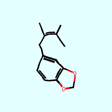 CC(C)=C(C)Cc1ccc2c(c1)OCO2